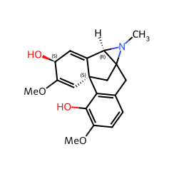 COC1=C[C@]23CC4(Cc5ccc(OC)c(O)c52)[C@@H](C3=C[C@@H]1O)N4C